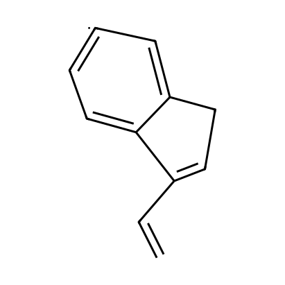 C=CC1=CCc2c[c]ccc21